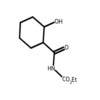 CCOC(=O)NC(=O)C1CCCCC1O